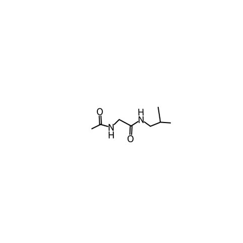 CC(=O)NCC(=O)NCC(C)C